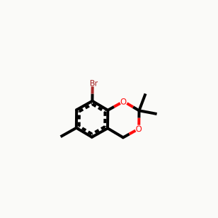 Cc1cc(Br)c2c(c1)COC(C)(C)O2